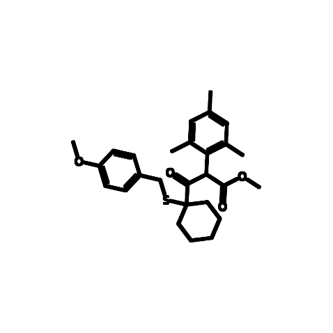 COC(=O)C(C(=O)C1(SCc2ccc(OC)cc2)CCCCC1)c1c(C)cc(C)cc1C